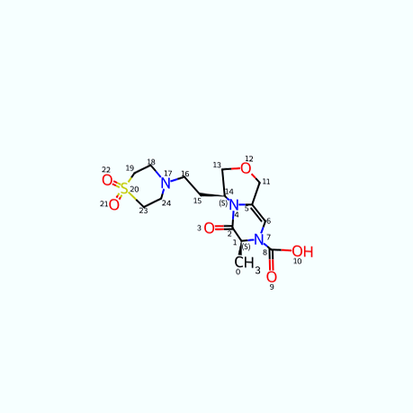 C[C@H]1C(=O)N2C(=CN1C(=O)O)COC[C@@H]2CCN1CCS(=O)(=O)CC1